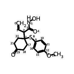 C=CC(C(=O)NO)C1(Sc2ccc(OC)cc2)CCC(=O)CC1